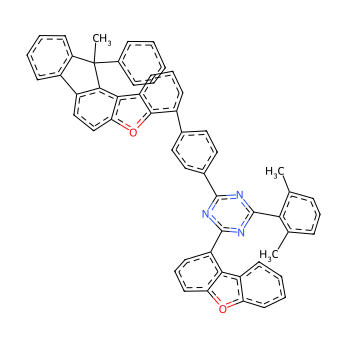 Cc1cccc(C)c1-c1nc(-c2ccc(-c3cccc4c3oc3ccc5c(c34)C(C)(c3ccccc3)c3ccccc3-5)cc2)nc(-c2cccc3oc4ccccc4c23)n1